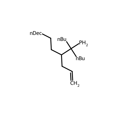 C=CCC(CCCCCCCCCCCC)C(P)(CCCC)CCCC